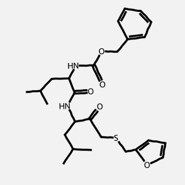 CC(C)CC(NC(=O)C(CC(C)C)NC(=O)OCc1ccccc1)C(=O)CSCc1ccco1